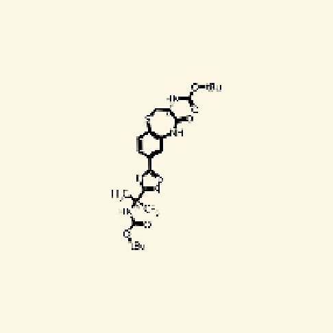 CC(C)(C)OC(=O)N[C@H]1CSc2ccc(-c3nnc([C@@](C)(NC(=O)OC(C)(C)C)C(F)(F)F)o3)cc2NC1=O